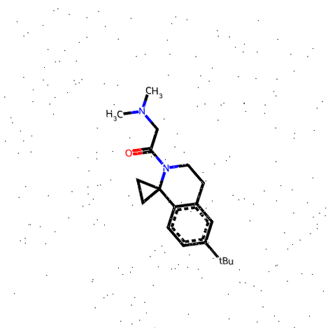 CN(C)CC(=O)N1CCc2cc(C(C)(C)C)ccc2C12CC2